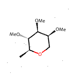 CO[C@@H]1[C@@H](OC)[C@@H](OC)CO[C@H]1C